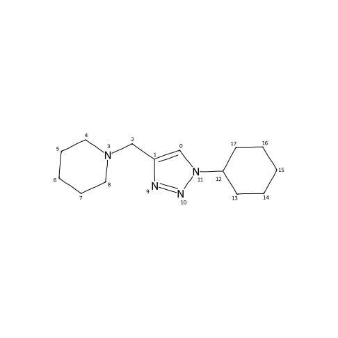 c1c(CN2CCCCC2)nnn1C1CCCCC1